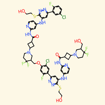 O=C(Nc1cc(Nc2cc(-c3cc(Cl)c(OCC4CN(C5CC(C(=O)Nc6cc(Nc7cc(-c8cc(Cl)ccc8F)nnc7SCCO)ccn6)C5)CCC4(F)F)cc3F)nnc2SCCO)ccn1)C1CC(N2CCC(F)(F)C(CO)C2)C1